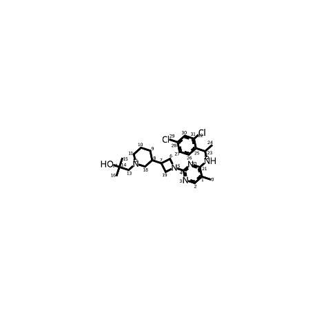 Cc1cnc(N2CC(C3CCCN(CC(C)(C)O)C3)C2)nc1NC(C)c1ccc(Cl)cc1Cl